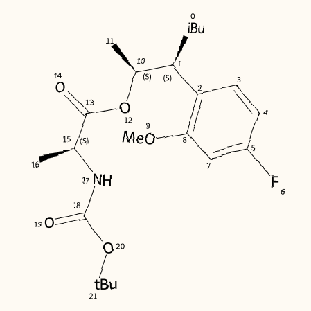 CCC(C)[C@@H](c1ccc(F)cc1OC)[C@H](C)OC(=O)[C@H](C)NC(=O)OC(C)(C)C